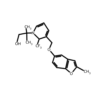 Cc1cc2cc(OCC3=CC=CN(C(C)(C)CO)C3C(F)(F)F)ccc2o1